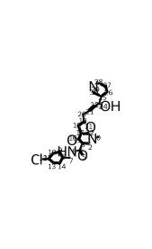 Cn1cc(C(=O)NCc2ccc(Cl)cc2)c(=O)c2cc(CC#CC(O)c3cccnc3)oc21